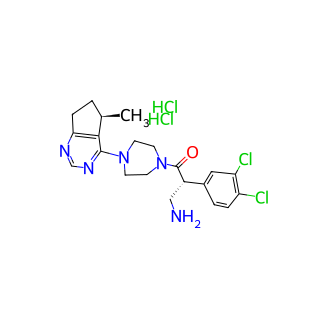 C[C@@H]1CCc2ncnc(N3CCN(C(=O)[C@@H](CN)c4ccc(Cl)c(Cl)c4)CC3)c21.Cl.Cl